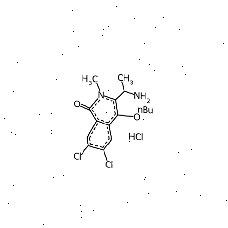 CCCCOc1c(C(C)N)n(C)c(=O)c2cc(Cl)c(Cl)cc12.Cl